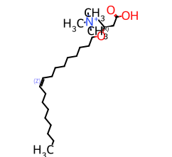 CCCCCCCC/C=C\CCCCCCCCO[C@H](CC(=O)O)C[N+](C)(C)C